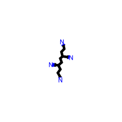 N#CCCC(C#N)CCC(C#N)CCC#N